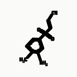 Cc1ccc(S(=O)(=O)C=CC#N)cc1N